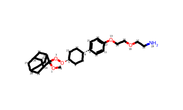 COC1(OO[C@H]2CC[C@@H](c3ccc(OCCOCCN)cc3)CC2)C2CC3CC(C2)CC1C3